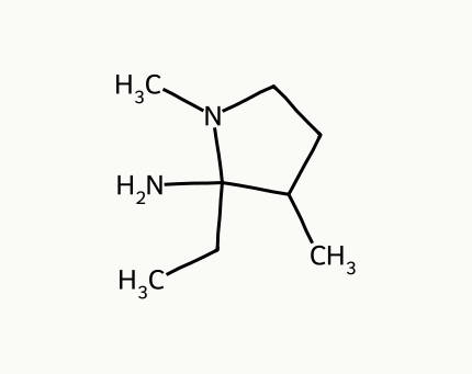 CCC1(N)C(C)CCN1C